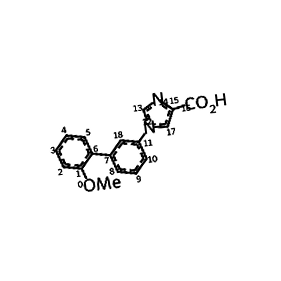 COc1ccccc1-c1cccc(-n2cnc(C(=O)O)c2)c1